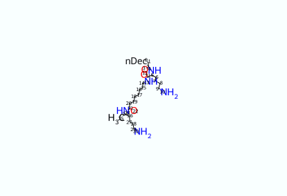 CCCCCCCCCCCC(=O)NC(CCCCN)C(=O)NCCCCCCCC(=O)NC(C)CCCCN